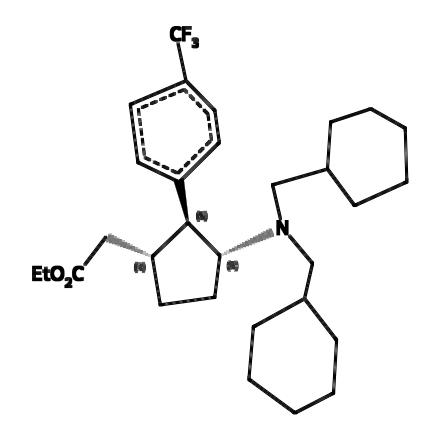 CCOC(=O)C[C@H]1CC[C@@H](N(CC2CCCCC2)CC2CCCCC2)[C@@H]1c1ccc(C(F)(F)F)cc1